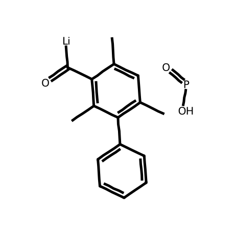 O=PO.[Li][C](=O)c1c(C)cc(C)c(-c2ccccc2)c1C